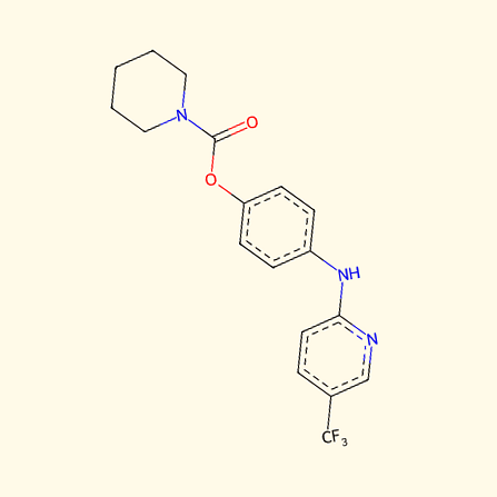 O=C(Oc1ccc(Nc2ccc(C(F)(F)F)cn2)cc1)N1CCCCC1